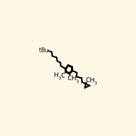 Cc1c(CCCCCCC(C)(C)C)ccc(CCCCC2(C)CC2)c1C